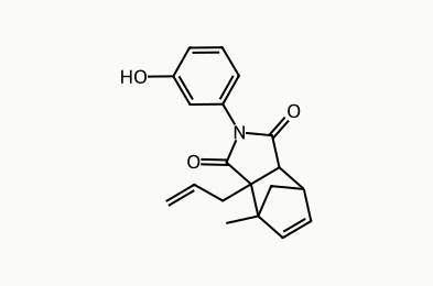 C=CCC12C(=O)N(c3cccc(O)c3)C(=O)C1C1C=CC2(C)C1